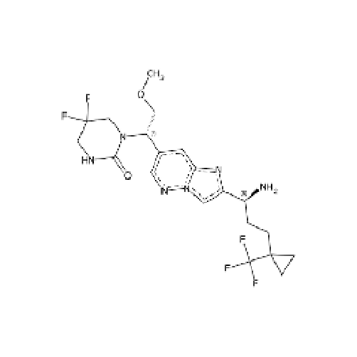 COC[C@H](c1cnn2cc([C@@H](N)CCC3(C(F)(F)F)CC3)nc2c1)N1CC(F)(F)CNC1=O